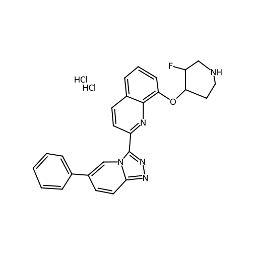 Cl.Cl.FC1CNCCC1Oc1cccc2ccc(-c3nnc4ccc(-c5ccccc5)cn34)nc12